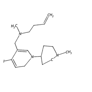 C=CCCN(C)CC1=CN(C2CCN(C)CC2)CC=C1I